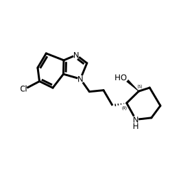 O[C@H]1CCCN[C@@H]1CCCn1cnc2ccc(Cl)cc21